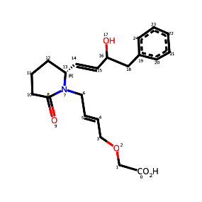 O=C(O)COCC=CCN1C(=O)CCC[C@@H]1C=CC(O)Cc1ccccc1